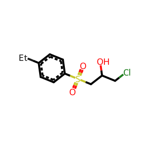 CCc1ccc(S(=O)(=O)CC(O)CCl)cc1